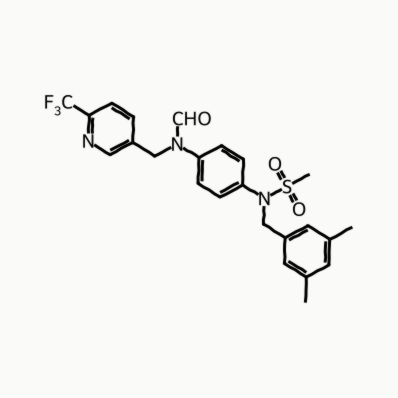 Cc1cc(C)cc(CN(c2ccc(N(C=O)Cc3ccc(C(F)(F)F)nc3)cc2)S(C)(=O)=O)c1